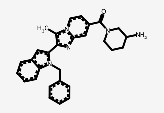 Cc1c(-c2cc3ccccc3n2Cc2ccccc2)nc2cc(C(=O)N3CCCC(N)C3)ccn12